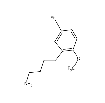 CCc1ccc(OC(F)(F)F)c(CCCCN)c1